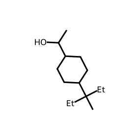 CCC(C)(CC)C1CCC(C(C)O)CC1